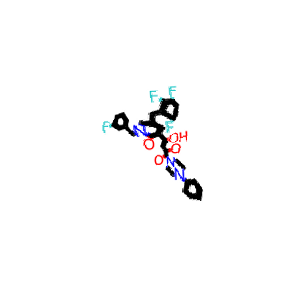 O=C(C=C(O)c1cc(Cc2c(F)ccc(F)c2F)cn(Cc2cccc(F)c2)c1=O)C(=O)N1CCN(c2ccccc2)CC1